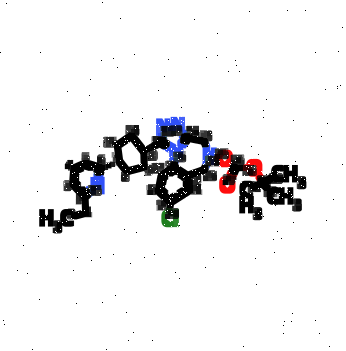 CCc1cccc([C@H]2CC[C@H](c3nnc4n3-c3ccc(Cl)cc3CN(OC(=O)OC(C)(C)C)C4)CC2)n1